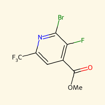 COC(=O)c1cc(C(F)(F)F)nc(Br)c1F